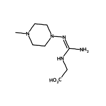 CN1CCN(N=C(N)NCC(=O)O)CC1